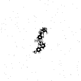 COc1ccc(-c2cccc3nc(Nc4ccc(C(=O)Nc5c(C)noc5C)cc4)nn23)cc1